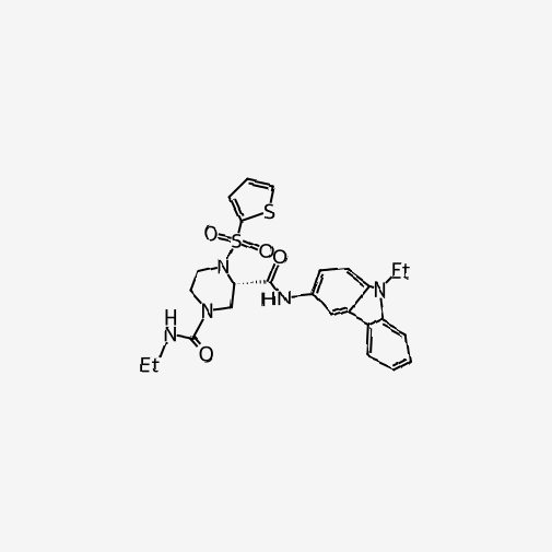 CCNC(=O)N1CCN(S(=O)(=O)c2cccs2)[C@H](C(=O)Nc2ccc3c(c2)c2ccccc2n3CC)C1